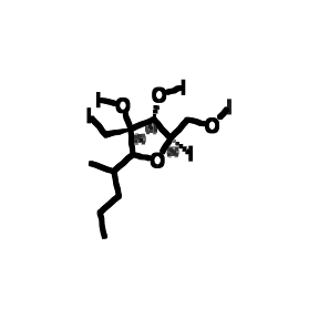 CCCC(C)C1O[C@](I)(COI)[C@@H](OI)[C@@]1(CI)OI